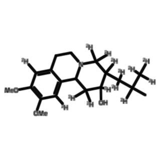 [2H]c1c2c(c([2H])c(OC)c1OC)C1N(CC2)C([2H])([2H])C([2H])(C([2H])([2H])C([2H])(C)C([2H])([2H])[2H])C([2H])(O)C1([2H])[2H]